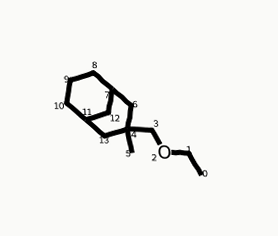 CCOCC1(C)CC2CCCC(C2)C1